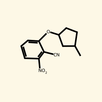 CC1CCC(Oc2cccc([N+](=O)[O-])c2C#N)C1